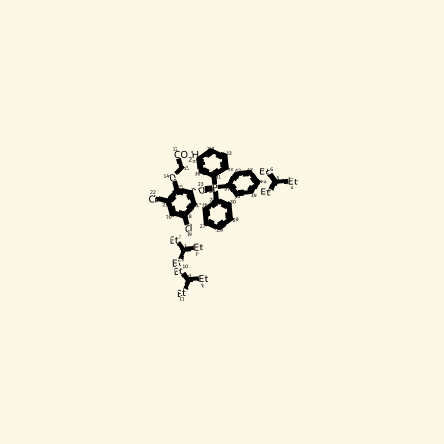 CCC(CC)CC.CCC(CC)CC.CCC(CC)CC.O=C(O)COc1ccc(Cl)cc1Cl.O=P(c1ccccc1)(c1ccccc1)c1ccccc1